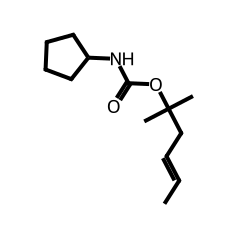 C/C=C/CC(C)(C)OC(=O)NC1CCCC1